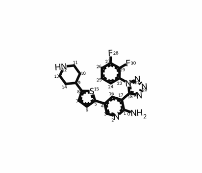 Nc1ncc(-c2ccc(C3CCNCC3)s2)cc1-c1nnnn1-c1cccc(F)c1F